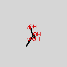 CCCCCCCC(=O)C=C[C@H]1C(O)CC(O)[C@@H]1CC=CCCCC(=O)O